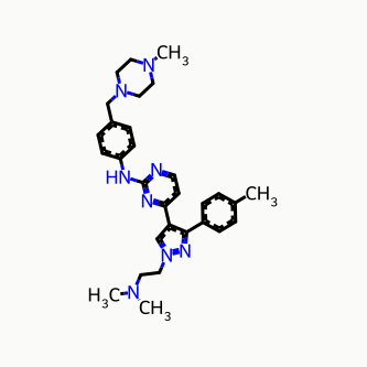 Cc1ccc(-c2nn(CCN(C)C)cc2-c2ccnc(Nc3ccc(CN4CCN(C)CC4)cc3)n2)cc1